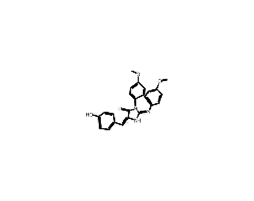 COc1ccc(/N=C2/N/C(=C/c3ccc(O)cc3)C(=O)N2c2ccc(OC)cc2)cc1